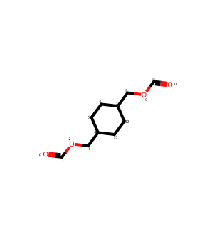 O=COCC1CCC(COC=O)CC1